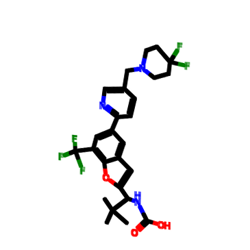 CC(C)(C)C(NC(=O)O)c1cc2cc(-c3ccc(CN4CCC(F)(F)CC4)cn3)cc(C(F)(F)F)c2o1